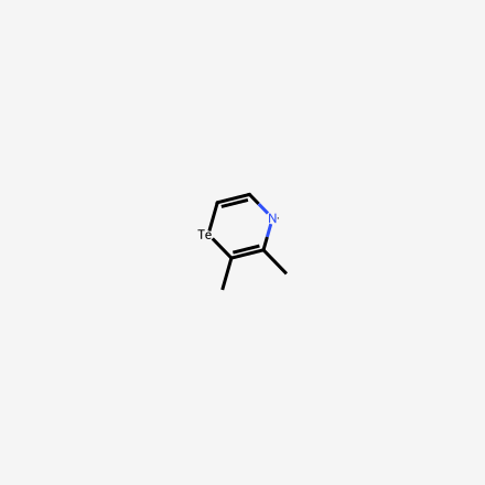 CC1=C(C)[Te]C=C[N]1